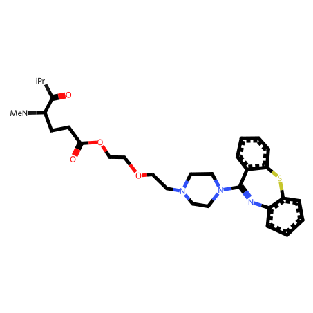 CNC(CCC(=O)OCCOCCN1CCN(C2=Nc3ccccc3Sc3ccccc32)CC1)C(=O)C(C)C